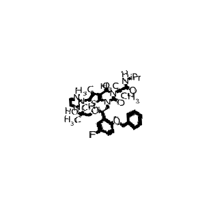 Cc1c(-n2nccn2)sc2c1c(=O)n(C(C)(C)C(=O)NC(C)C)c(=O)n2C[C@H](OCC(C)(C)O)c1cc(F)ccc1OCc1ccccc1